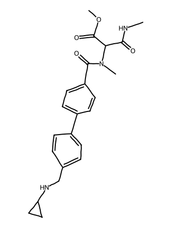 CNC(=O)C(C(=O)OC)N(C)C(=O)c1ccc(-c2ccc(CNC3CC3)cc2)cc1